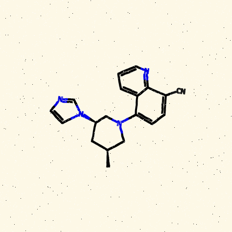 C[C@H]1C[C@@H](n2ccnc2)CN(c2ccc(C#N)c3ncccc23)C1